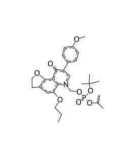 C=C(C)OP(=O)(OCn1cc(-c2ccc(OC)cc2)c(=O)c2c3c(cc(OCCC)c21)CCO3)OC(C)(C)C